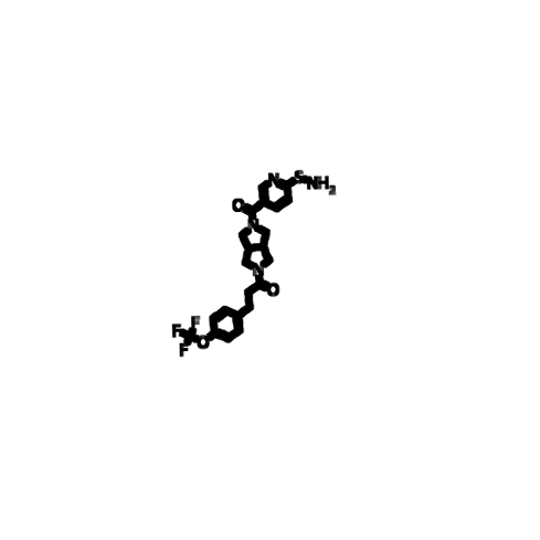 NSc1ccc(C(=O)N2CC3CN(C(=O)CCc4ccc(OC(F)(F)F)cc4)CC3C2)cn1